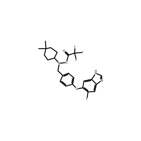 CC1(C)CCC(N(Cc2ccc(Oc3cc4[nH]cnc4cc3F)cc2)OC(=O)C(F)(F)F)CC1